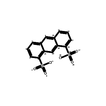 O=S(=O)(Cl)c1cccc2cc3cccc(S(=O)(=O)Cl)c3cc12